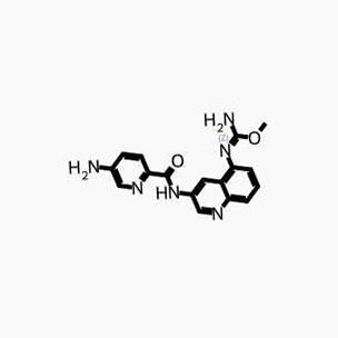 CO/C(N)=N\c1cccc2ncc(NC(=O)c3ccc(N)cn3)cc12